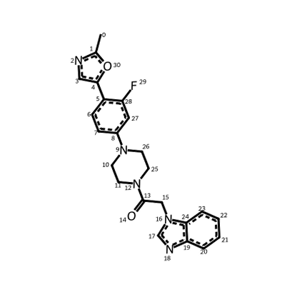 Cc1ncc(-c2ccc(N3CCN(C(=O)Cn4cnc5ccccc54)CC3)cc2F)o1